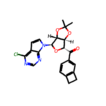 CC1(C)O[C@@H]2[C@@H](O1)[C@H](C(=O)c1ccc3c(c1)CC3)O[C@H]2n1ccc2c(Cl)ncnc21